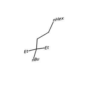 CCCCCCCCC(CC)(CC)CCCC